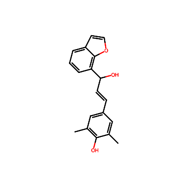 Cc1cc(/C=C/C(O)c2cccc3ccoc23)cc(C)c1O